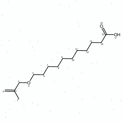 C=C(C)COCCCCCCCCCCC(=O)O